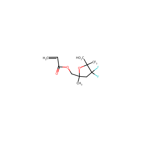 C=CC(=O)OCC1(C)CC(F)(F)C(C(=O)O)(C(F)(F)F)O1